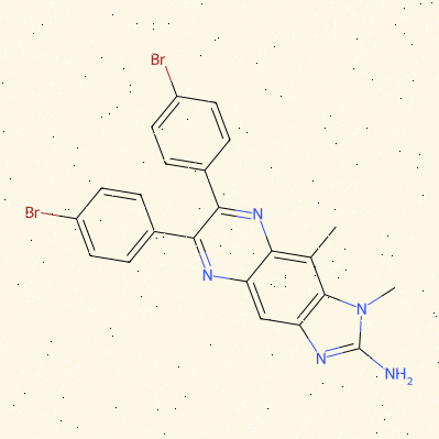 Cc1c2nc(-c3ccc(Br)cc3)c(-c3ccc(Br)cc3)nc2cc2nc(N)n(C)c12